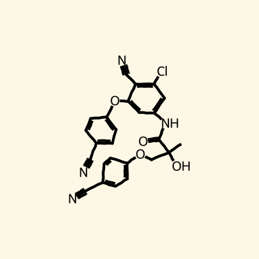 CC(O)(COc1ccc(C#N)cc1)C(=O)Nc1cc(Cl)c(C#N)c(Oc2ccc(C#N)cc2)c1